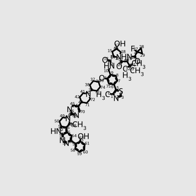 Cc1ncsc1-c1ccc(CNC(=O)[C@@H]2C[C@@H](O)CN2C(=O)[C@@H](NC(=O)C2(F)CC2)C(C)(C)C)c(O[C@H]2CC[C@H](N3CCC(c4cnc(N5CCc6[nH]c7nnc(-c8ccccc8O)cc7c6[C@H]5C)nc4)CC3)CC2)c1